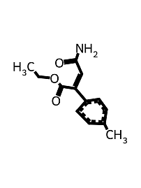 CCOC(=O)C(=CC(N)=O)c1ccc(C)cc1